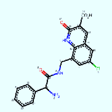 NC(C(=O)NCc1cc(Cl)cc2cc(C(=O)O)c(=O)[nH]c12)c1ccccc1